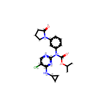 CC(C)OC(=O)N(c1cccc(N2CCCC2=O)c1)c1ncc(Cl)c(NC2CC2)n1